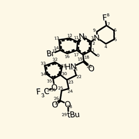 Cc1c(N2CCCC(F)C2)nc2ccc(Br)cc2c1C(=O)NCC(CCC(=O)OC(C)(C)C)c1ccccc1OC(F)(F)F